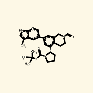 Cc1c[nH]c2ncc(-c3cc4c(c([C@@H]5CCCN5C(=O)OC(C)(C)C)c3)CCN(C=O)C4)cc12